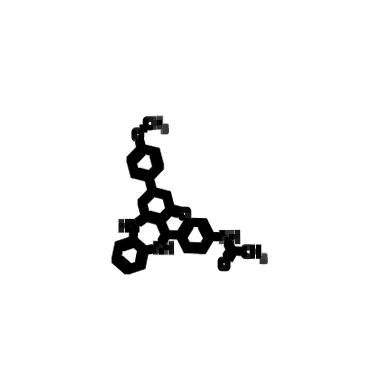 COc1ccc(C2CC(=O)C3=C(C2)Nc2ccccc2NC3c2ccc(NC(C)=O)cc2)cc1